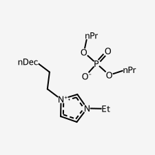 CCCCCCCCCCCC[n+]1ccn(CC)c1.CCCOP(=O)([O-])OCCC